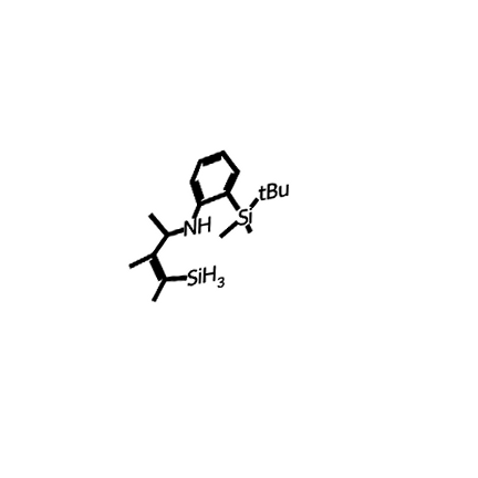 CC([SiH3])=C(C)C(C)Nc1ccccc1[Si](C)(C)C(C)(C)C